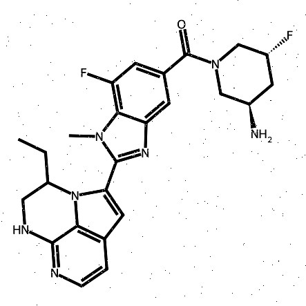 CCC1CNc2nccc3cc(-c4nc5cc(C(=O)N6C[C@H](N)C[C@@H](F)C6)cc(F)c5n4C)n1c23